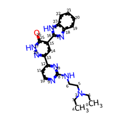 CCN(CC)CCNc1nccc(-c2cc(-c3nc4ccccc4[nH]3)c(=O)[nH]n2)n1